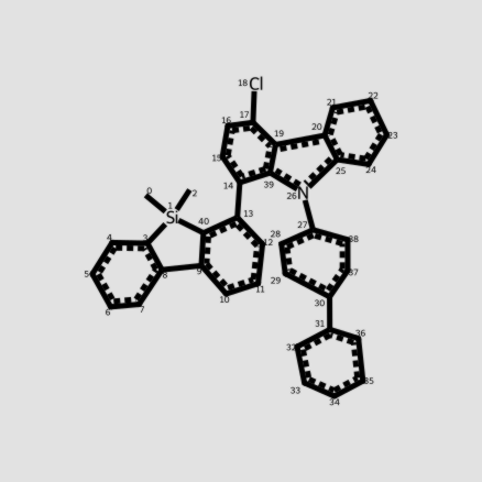 C[Si]1(C)c2ccccc2-c2cccc(-c3ccc(Cl)c4c5ccccc5n(-c5ccc(-c6ccccc6)cc5)c34)c21